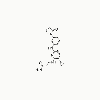 NC(=O)CCNc1nc(Nc2cccc(N3CCCC3=O)c2)ncc1C1CC1